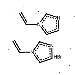 Br.C=Cn1ccnc1.C=Cn1ccnc1